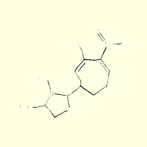 CC1CSC(C2C=C(N)C([N+](=O)[O-])=CCC2)N1C